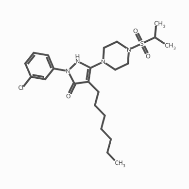 CCCCCCCc1c(N2CCN(S(=O)(=O)C(C)C)CC2)[nH]n(-c2cccc(Cl)c2)c1=O